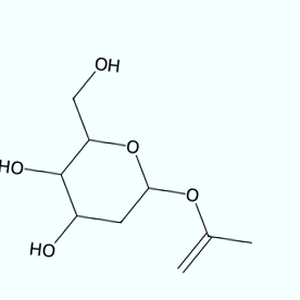 C=C(C)OC1CC(O)C(O)C(CO)O1